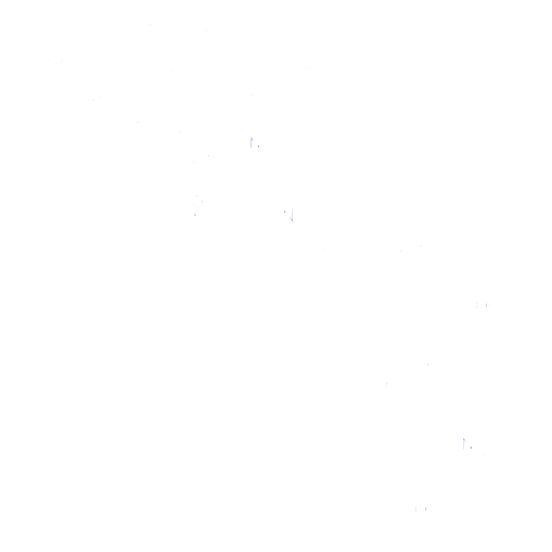 COc1ccc(C(=O)COc2ccc(N3C(=O)C4CC5C=CC(C6CC56)C4C3=O)nc2)cn1